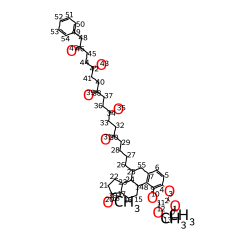 COCOc1ccc2c(c1OCOC)C1CCC3(C)C(=O)CCC3C1C(CCCCC(=O)CCC(=O)CCC(=O)CCC(=O)CCC(=O)Cc1ccccc1)C2